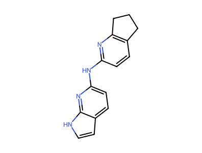 c1cc2ccc(Nc3ccc4c(n3)CCC4)nc2[nH]1